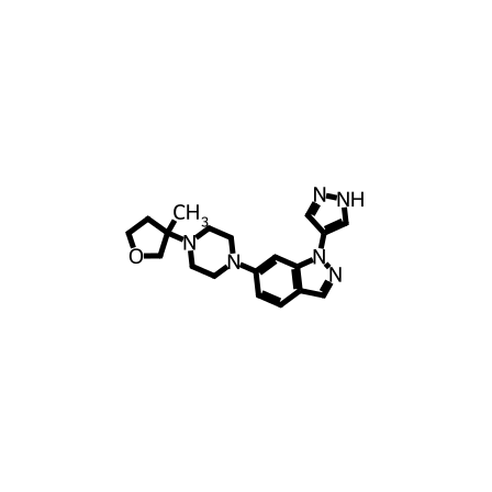 CC1(N2CCN(c3ccc4cnn(-c5cn[nH]c5)c4c3)CC2)CCOC1